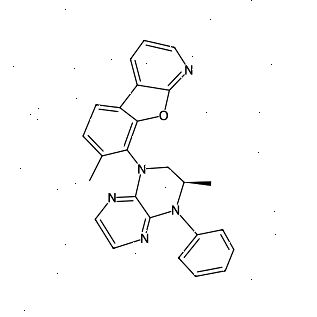 Cc1ccc2c(oc3ncccc32)c1N1C[C@@H](C)N(c2ccccc2)c2nccnc21